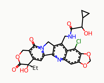 CC[C@@]1(O)C(=O)OCc2c1cc1n(c2=O)Cc2c-1nc1cc3c(c(Cl)c1c2CNC(=O)C(O)C1CC1)OCO3